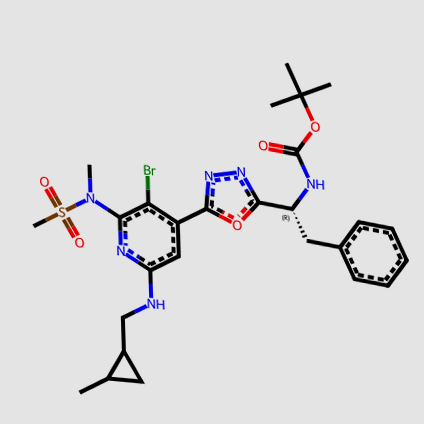 CC1CC1CNc1cc(-c2nnc([C@@H](Cc3ccccc3)NC(=O)OC(C)(C)C)o2)c(Br)c(N(C)S(C)(=O)=O)n1